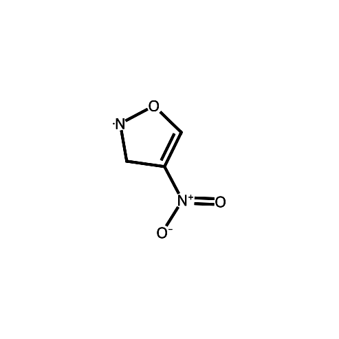 O=[N+]([O-])C1=CO[N]C1